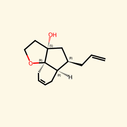 C=CC[C@@H]1C[C@]2(O)CCO[C@@]23CC=CC[C@H]13